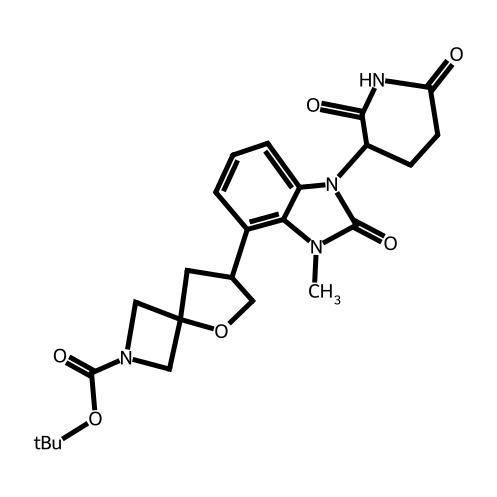 Cn1c(=O)n(C2CCC(=O)NC2=O)c2cccc(C3COC4(C3)CN(C(=O)OC(C)(C)C)C4)c21